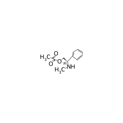 CN[C@@H](COS(C)(=O)=O)c1ccccc1